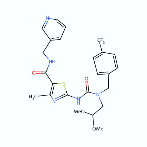 COC(CN(Cc1ccc(C(F)(F)F)cc1)C(=O)Nc1nc(C)c(C(=O)NCc2cccnc2)s1)OC